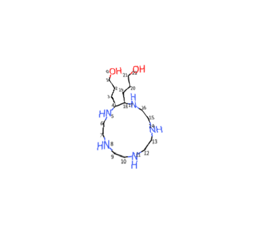 OCCC[C@@H]1NCCNCCNCCNCCN[C@@H]1CCCO